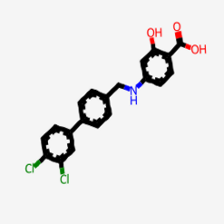 O=C(O)c1ccc(NCc2ccc(-c3ccc(Cl)c(Cl)c3)cc2)cc1O